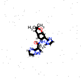 Cn1ccnc1-c1cc2c(cc1NC(=O)c1cnn3cccnc13)CC(C)(C)O2